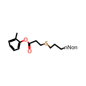 CCCCCCCCCCCCSCCC(=O)Oc1ccccc1C